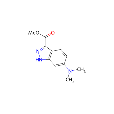 COC(=O)c1n[nH]c2cc(N(C)C)ccc12